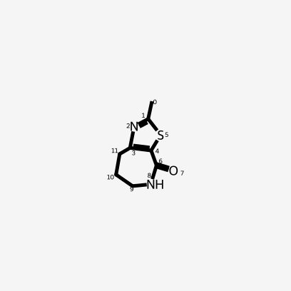 Cc1nc2c(s1)C(=O)NCCC2